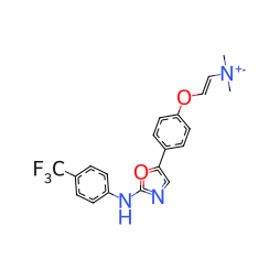 C[N+](C)(C)/C=C/Oc1ccc(-c2cnc(Nc3ccc(C(F)(F)F)cc3)o2)cc1